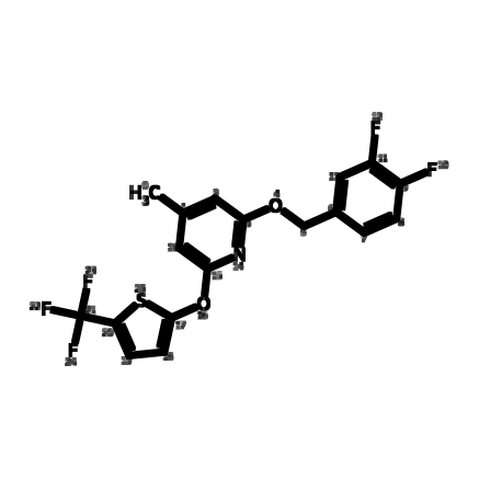 Cc1cc(OCc2ccc(F)c(F)c2)nc(Oc2ccc(C(F)(F)F)s2)c1